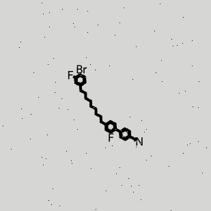 N#Cc1ccc(-c2ccc(CCCCCCCCCc3ccc(Br)c(F)c3)cc2F)cc1